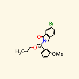 C=CCOC[C@H](c1cccc(OC)c1)N1Cc2ccc(Br)cc2C1=O